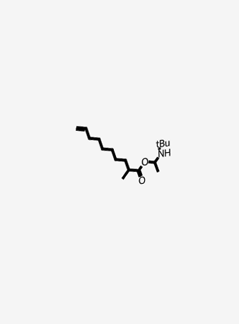 C=CCCCCCCC(C)C(=O)OC(C)NC(C)(C)C